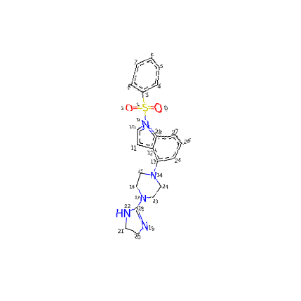 O=S(=O)(c1ccccc1)n1ccc2c(N3CCN(C4=NCCN4)CC3)cccc21